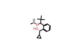 C[SiH](C)OC(c1ccccc1[C@@H](O)C1CC1)C(C)(C)C